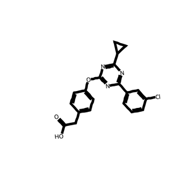 O=C(O)Cc1ccc(Oc2nc(-c3cccc(Cl)c3)nc(C3CC3)n2)cc1